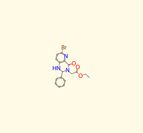 CCOC(=O)CN1C(=O)c2nc(Br)ccc2NC1c1ccccc1